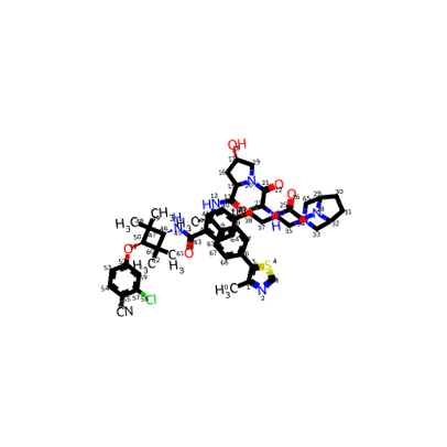 Cc1ncsc1-c1ccc([C@H](C)NC(=O)C2C[C@@H](O)CN2C(=O)C(NC(=O)CN2C3CCC2CN(CCCCc2ccc(C(=O)N[C@H]4C(C)(C)[C@H](Oc5ccc(C#N)c(Cl)c5)C4(C)C)cc2)C3)C(C)(C)C)cc1